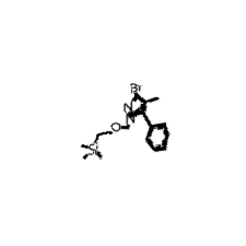 Cc1c(Br)nn(COCC[Si](C)(C)C)c1-c1ccccc1